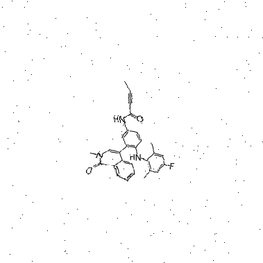 CC#CC(=O)Nc1ccc(Nc2c(C)cc(F)cc2C)c(-c2cn(C)c(=O)c3ccccc23)c1